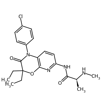 CCC1(CC)Oc2nc(NC(=O)[C@H](C)NC)ccc2N(c2ccc(Cl)cc2)C1=O